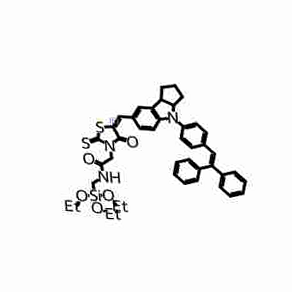 CCO[Si](CNC(=O)CN1C(=O)/C(=C\c2ccc3c(c2)C2CCCC2N3c2ccc(C=C(c3ccccc3)c3ccccc3)cc2)SC1=S)(OCC)OCC